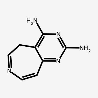 Nc1nc(N)c2c(n1)C=CN=CC2